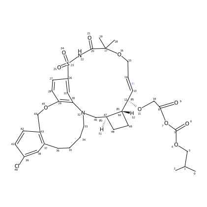 CC(C)COC(=O)OC(=O)CO[C@H]1/C=C/COC(C)(C)C(=O)NS(=O)(=O)c2ccc3c(c2)N(CCCCc2cc(Cl)ccc2CO3)C[C@@H]2CC[C@H]21